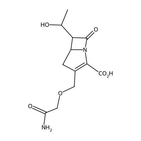 CC(O)C1C(=O)N2C(C(=O)O)=C(COCC(N)=O)CC12